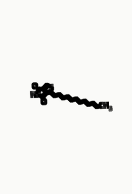 CCCCCCCCCCCCc1scc2c1C(=O)NC2=O